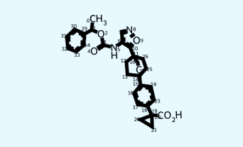 CC(OC(=O)Nc1cnoc1C12CCC(c3ccc(C4(C(=O)O)CC4)cc3)(CC1)CC2)c1ccccc1